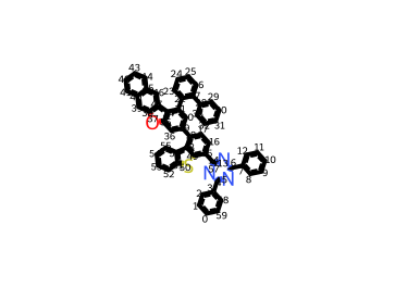 c1ccc(-c2nc(-c3ccccc3)nc(-c3ccc(-c4cc(-c5ccccc5-c5ccccc5)c5c(c4)oc4cc6ccccc6cc45)c4c3sc3ccccc34)n2)cc1